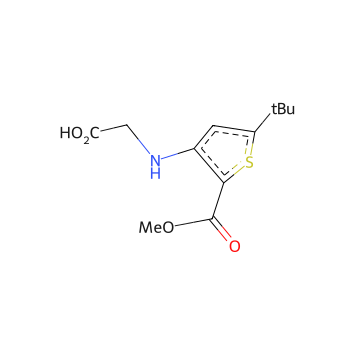 COC(=O)c1sc(C(C)(C)C)cc1NCC(=O)O